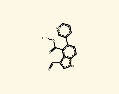 COC(=O)c1c(-c2cccnc2)ccc2[nH]cc(C=O)c12